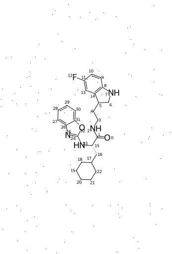 O=C(NCCC1CNc2ccc(F)cc21)[C@H](CC1CCCCC1)Nc1nc2ccccc2o1